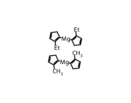 CC1=[C]([Mg][C]2=C(C)C=CC2)CC=C1.CCC1=[C]([Mg][C]2=C(CC)C=CC2)CC=C1